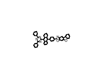 c1ccc(-c2nc(-c3ccccc3)nc(-c3c4ccccc4c(-c4ccc(-c5nc6cc7c(cc6o5)oc5ccccc57)cc4)c4ccccc34)n2)cc1